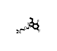 C=Cc1nn(COCC[Si](C)(C)C)c2cc(F)cc(F)c12